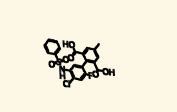 Cc1cc(C(=O)O)c(-c2cc(NS(=O)(=O)c3ccccc3)c(Cl)cc2F)c(C(=O)O)c1